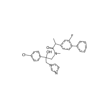 CC(C(=O)N(C)CC(O)(Cn1ccnc1)c1ccc(Cl)cc1)c1ccc(-c2ccccc2)c(F)c1